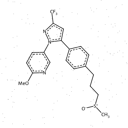 COc1ccc(-n2nc(C(F)(F)F)cc2-c2ccc(CCC[S+](C)[O-])cc2)cn1